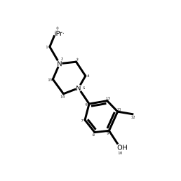 C[C](C)CN1CCN(c2ccc(O)c(C)c2)CC1